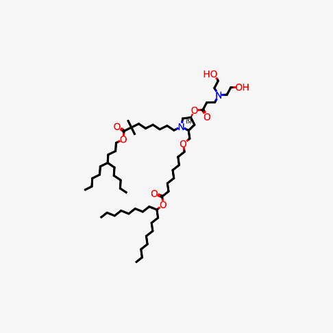 CCCCCCCCC(CCCCCCCC)OC(=O)CCCCCCCOCC1C[C@H](OC(=O)CCN(CCO)CCO)CN1CCCCCCC(C)(C)C(=O)OCCCC(CCCCC)CCCCC